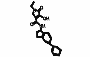 CCN1CC(C(=O)NC2CCc3cc(-c4ccccc4)ccc32)=C(O)C1=O